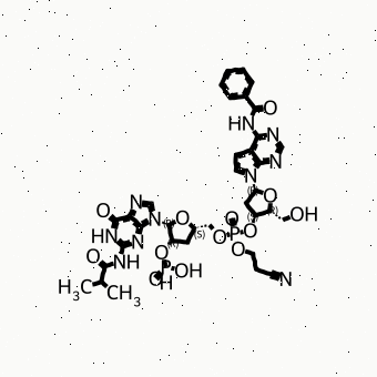 CC(C)C(=O)Nc1nc2c(ncn2[C@@H]2O[C@H](COP(=O)(OCCC#N)O[C@H]3C[C@H](n4ccc5c(NC(=O)c6ccccc6)ncnc54)O[C@@H]3CO)C[C@H]2O[PH](=O)O)c(=O)[nH]1